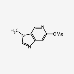 COc1cc2ncn(C)c2cn1